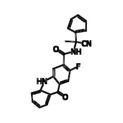 CC(C#N)(NC(=O)c1cc2[nH]c3ccccc3c(=O)c2cc1F)c1ccccc1